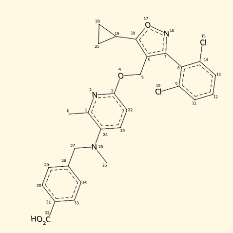 Cc1nc(OCc2c(-c3c(Cl)cccc3Cl)noc2C2CC2)ccc1N(C)Cc1ccc(C(=O)O)cc1